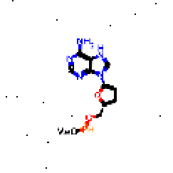 COPOC[C@@H]1CC[C@H](N2CNc3c(N)ncnc32)O1